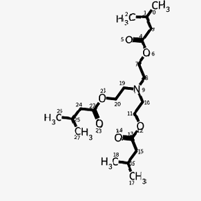 CC(C)CC(=O)OCCN(CCOC(=O)CC(C)C)CCOC(=O)CC(C)C